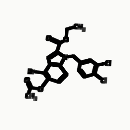 CCOC(=O)c1cc2c(Br)c(OC(C)=O)ccc2n1Cc1ccc(Cl)c(Cl)c1